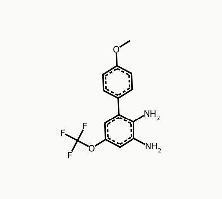 COc1ccc(-c2cc(OC(F)(F)F)cc(N)c2N)cc1